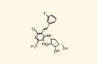 Cc1nc(Cl)c(/C=C/c2cccc(F)c2)c(N[C@@H]2C[C@H](CO)[C@@H](O)[C@H]2O)n1